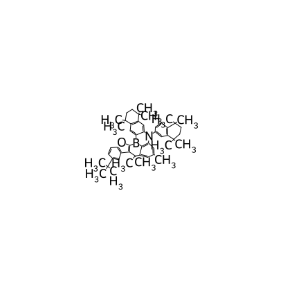 Cc1cc2c3c(c1)C(C)(C)c1c(oc4ccc(C(C)(C)C)cc14)B3c1cc3c(cc1N2c1ccc2c(c1)C(C)(C)CCC2(C)C)C(C)(C)CCC3(C)C